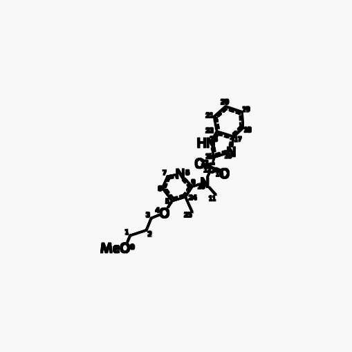 COCCCOc1ccnc(N(C)S(=O)(=O)c2nc3ccccc3[nH]2)c1C